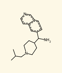 CC(C)CN1CCC(C(N)c2ccc3cnccc3c2)CC1